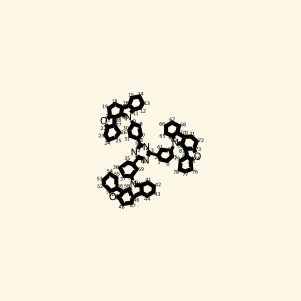 c1cc(-c2nc(-c3ccc(-n4c5ccccc5c5ccc6oc7ccccc7c6c54)cc3)nc(-c3cccc(-n4c5ccccc5c5ccc6oc7ccccc7c6c54)c3)n2)cc(-n2c3ccccc3c3ccc4oc5ccccc5c4c32)c1